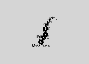 COc1ccc(-c2[nH]c3ccc(C4CCN(C(=O)CNCC(N)=O)CC4)cc3c2C(C)C)cc1OC